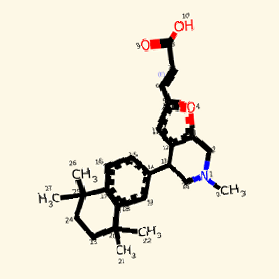 CN1Cc2oc(/C=C/C(=O)O)cc2C(c2ccc3c(c2)C(C)(C)CCC3(C)C)C1